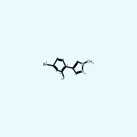 Cn1cc(-c2ccc(Br)cc2F)cn1